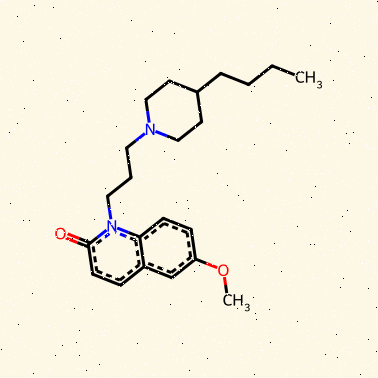 CCCCC1CCN(CCCn2c(=O)ccc3cc(OC)ccc32)CC1